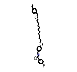 C=Cc1ccc(COCCCCCCCCCCCCOc2ccc(/C=C/C(=O)c3ccc(F)cc3)cc2)cc1